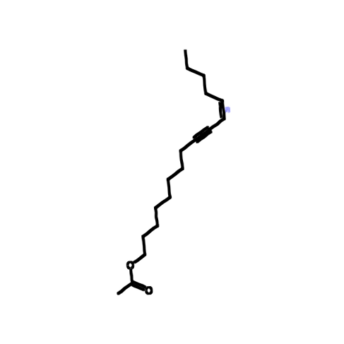 CCCC/C=C\C#CCCCCCCCCOC(C)=O